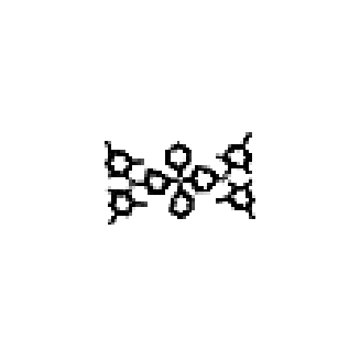 Cc1cc(C)c(B(c2ccc(S(c3ccccc3)(c3ccccc3)c3ccc(B(c4c(C)cc(C)cc4C)c4c(C)cc(C)cc4C)cc3)cc2)c2c(C)cc(C)cc2C)c(C)c1